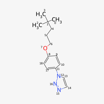 CC(C)(C)CCCOc1ccc(-n2ccnn2)cc1